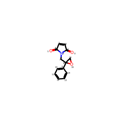 O=C1C=CC(=O)N1CC1(c2ccccc2)CO1